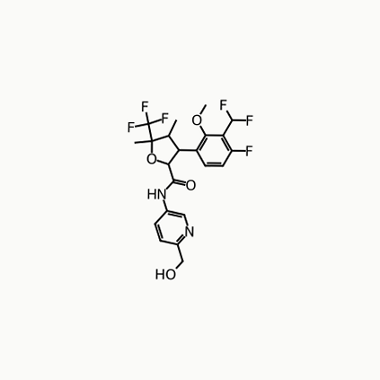 COc1c(C2C(C(=O)Nc3ccc(CO)nc3)OC(C)(C(F)(F)F)C2C)ccc(F)c1C(F)F